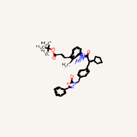 Cc1c(CCC(=O)OC(C)(C)C)cccc1NC(=O)C(c1ccc(Cn2nc(-c3ccccc3)oc2=O)cc1)C1CCCC1